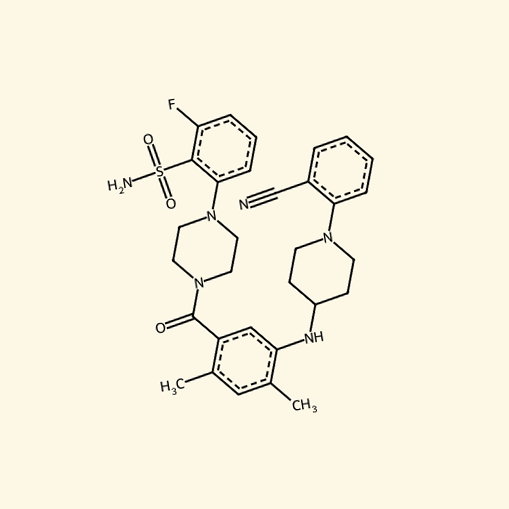 Cc1cc(C)c(C(=O)N2CCN(c3cccc(F)c3S(N)(=O)=O)CC2)cc1NC1CCN(c2ccccc2C#N)CC1